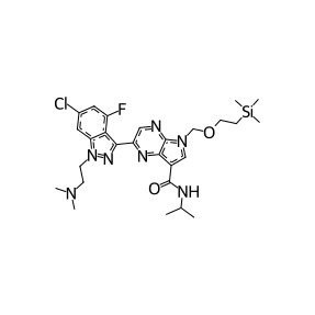 CC(C)NC(=O)c1cn(COCC[Si](C)(C)C)c2ncc(-c3nn(CCN(C)C)c4cc(Cl)cc(F)c34)nc12